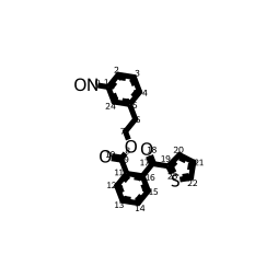 O=Nc1cccc(CCOC(=O)c2ccccc2C(=O)c2cccs2)c1